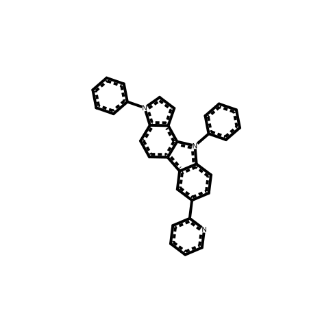 c1ccc(-n2ccc3c2ccc2c4cc(-c5ccccn5)ccc4n(-c4ccccc4)c23)cc1